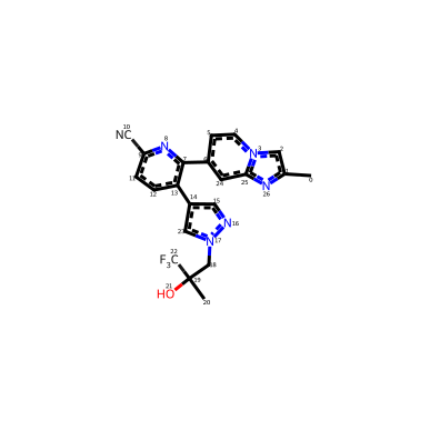 Cc1cn2ccc(-c3nc(C#N)ccc3-c3cnn(CC(C)(O)C(F)(F)F)c3)cc2n1